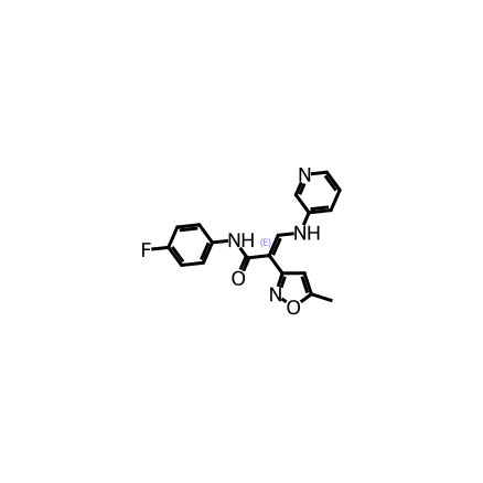 Cc1cc(/C(=C\Nc2cccnc2)C(=O)Nc2ccc(F)cc2)no1